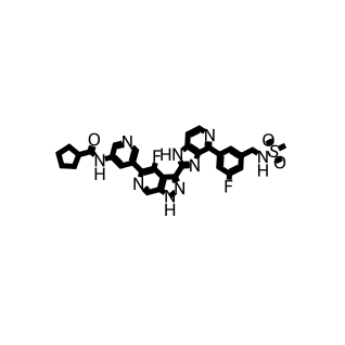 CS(=O)(=O)NCc1cc(F)cc(-c2nccc3[nH]c(-c4n[nH]c5cnc(-c6cncc(NC(=O)C7CCCC7)c6)c(F)c45)nc23)c1